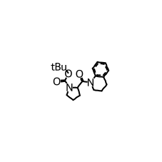 CC(C)(C)OC(=O)N1CCCC1C(=O)N1CCCc2ccccc21